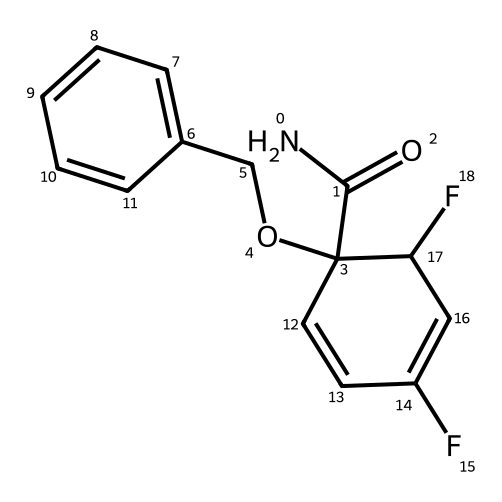 NC(=O)C1(OCc2ccccc2)C=CC(F)=CC1F